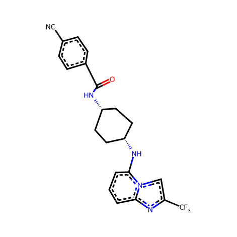 N#Cc1ccc(C(=O)N[C@H]2CC[C@@H](Nc3cccc4nc(C(F)(F)F)cn34)CC2)cc1